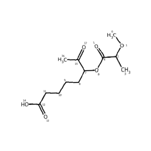 COC(C)C(=O)OC(CCCCC(=O)O)C(C)=O